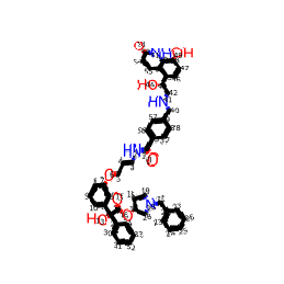 O=C(NCCCOc1cccc(C(O)(C(=O)O[C@H]2CCN(Cc3ccccc3)C2)c2ccccc2)c1)c1ccc(CNC[C@H](O)c2ccc(O)c3[nH]c(=O)ccc23)cc1